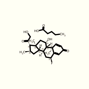 CCCCC(=O)O.C[C@@H]1C[C@H]2[C@@H]3C[C@H](F)C4=CC(=O)C=C[C@]4(C)[C@H]3[C@@H](O)C[C@]2(C)[C@H]1C(=O)CO